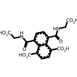 O=C(O)CNC(=O)c1ccc(C(=O)NCC(=O)O)c2c(C(=O)O)ccc(C(=O)O)c12